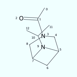 CC(=O)N1CC2CC(C1)N2C(C)C